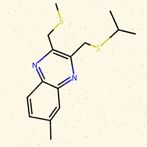 CSCc1nc2ccc(C)cc2nc1CSC(C)C